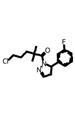 CC(C)(CCCCl)C(=O)N1N=CCC1c1cccc(F)c1